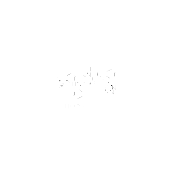 O=C(Nc1cc(Cl)ccc1-n1cnnn1)C(=O)N[C@@H](Cc1ccc([N+](=O)[O-])cc1)C(=O)Nc1ccc(C(=O)O)cc1